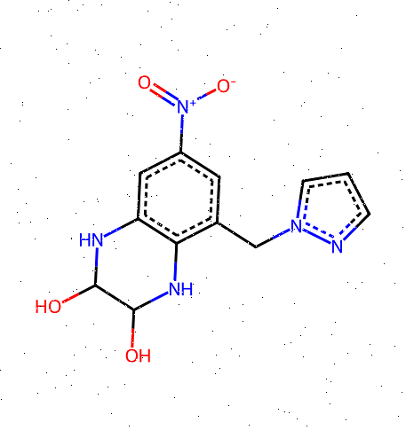 O=[N+]([O-])c1cc(Cn2cccn2)c2c(c1)NC(O)C(O)N2